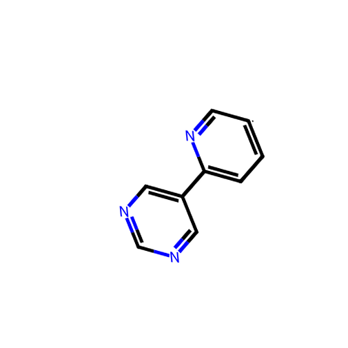 [c]1ccc(-c2cncnc2)nc1